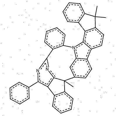 CC1(C)c2ccccc2-c2c1ccc1c3ccc4cc3n(c21)-c1ccccc1-c1nc(-c2ccccc2)c2c(n1)C4(C)c1ccccc1-2